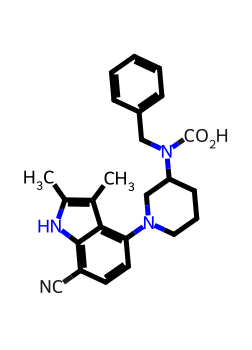 Cc1[nH]c2c(C#N)ccc(N3CCCC(N(Cc4ccccc4)C(=O)O)C3)c2c1C